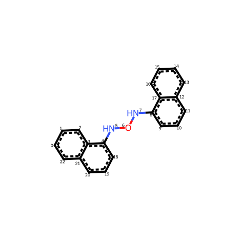 c1ccc2c(NONc3cccc4ccccc34)cccc2c1